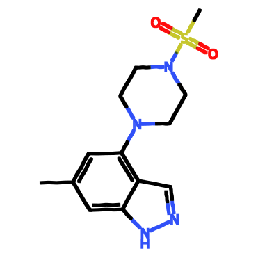 Cc1cc(N2CCN(S(C)(=O)=O)CC2)c2cn[nH]c2c1